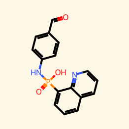 O=Cc1ccc(NP(=O)(O)c2cccc3cccnc23)cc1